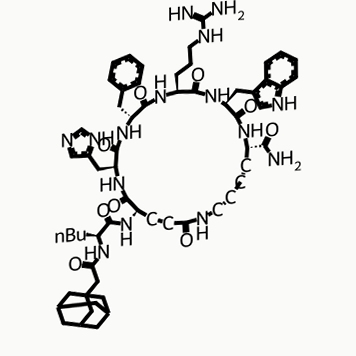 CCCC[C@H](NC(=O)CC12CC3CC(CC(C3)C1)C2)C(=O)N[C@H]1CCC(=O)NCCCC[C@@H](C(N)=O)NC(=O)[C@H](Cc2c[nH]c3ccccc23)NC(=O)[C@H](CCCNC(=N)N)NC(=O)[C@@H](Cc2ccccc2)NC(=O)[C@H](Cc2cnc[nH]2)NC1=O